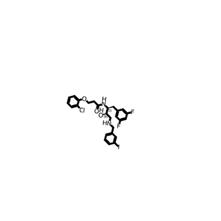 O=C(CCOc1ccccc1Cl)N[C@@H](Cc1cc(F)cc(F)c1)[C@H](O)CNCc1cccc(I)c1